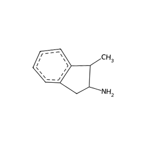 CC1c2ccccc2CC1N